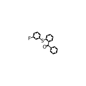 O=C(c1ccccc1)c1ccccc1Sc1cccc(F)c1